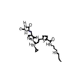 CCCNCCCNC(=O)c1ccc(-c2cc(NC3CC3)n3ncc(/C=C4\NC(=O)NC4=O)c3n2)s1